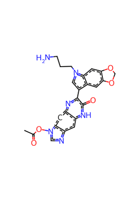 CC(=O)On1cnc2cc3[nH]c(=O)c(-c4cn(CCCN)c5cc6c(cc45)OCO6)nc3cc21